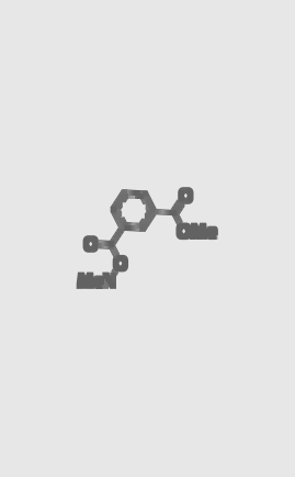 CNOC(=O)c1cccc(C(=O)OC)c1